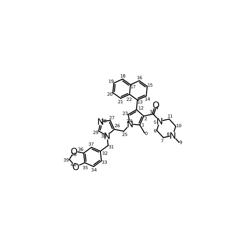 Cc1c(C(=O)N2CCN(C)CC2)c(-c2cccc3ccccc23)cn1Cc1cncn1Cc1ccc2c(c1)OCO2